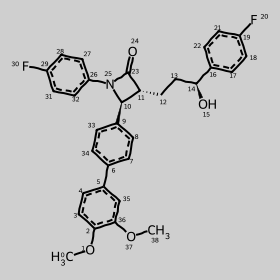 COc1ccc(-c2ccc([C@@H]3[C@@H](CC[C@H](O)c4ccc(F)cc4)C(=O)N3c3ccc(F)cc3)cc2)cc1OC